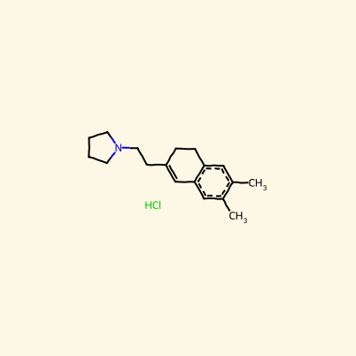 Cc1cc2c(cc1C)CCC(CCN1CCCC1)=C2.Cl